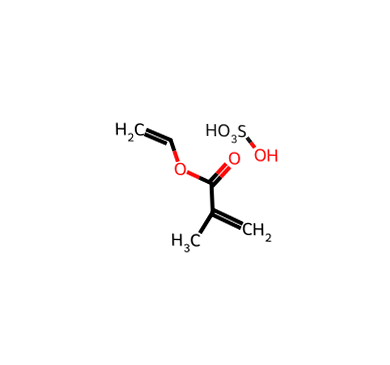 C=COC(=O)C(=C)C.O=S(=O)(O)O